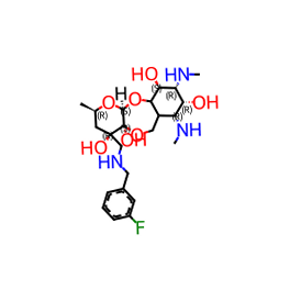 CN[C@@H]1[C@H](O)[C@H](NC)C2CO[C@]3(O)[C@H](OC2[C@H]1O)O[C@H](C)C[C@@]3(O)CNCc1cccc(F)c1